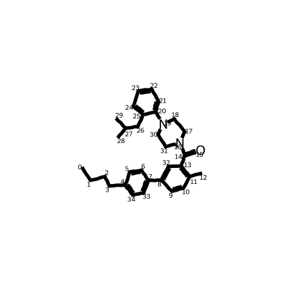 CCCCc1ccc(-c2ccc(C)c(C(=O)N3CCN(c4ccccc4CC(C)C)CC3)c2)cc1